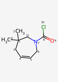 CC1(C)CC=CCN(C(=O)Cl)C1